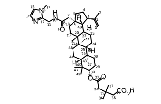 C=C(C)[C@@H]1CC[C@]2(CC(=O)NCc3nccn3C)CC[C@]3(C)[C@H](CC[C@@H]4[C@@]5(C)CC[C@H](OC(=O)CC(C)(C)CC(=O)O)C(C)(C)[C@@H]5CC[C@]43C)[C@@H]12